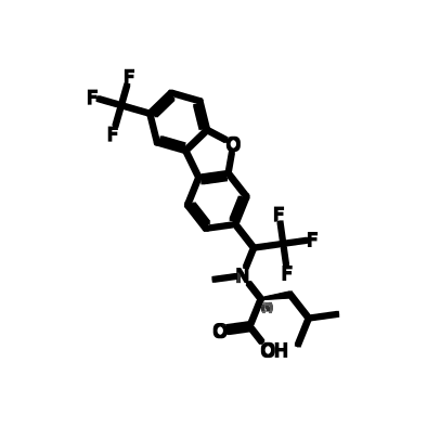 CC(C)C[C@@H](C(=O)O)N(C)C(c1ccc2c(c1)oc1ccc(C(F)(F)F)cc12)C(F)(F)F